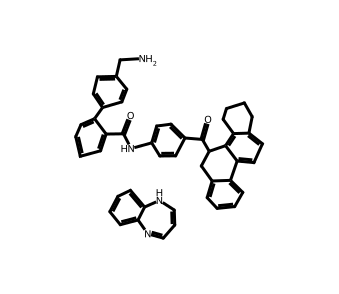 C1=CNc2ccccc2N=C1.NCc1ccc(-c2ccccc2C(=O)Nc2ccc(C(=O)C3Cc4ccccc4-c4ccc5c(c43)CCCC5)cc2)cc1